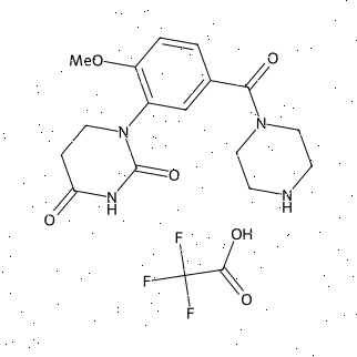 COc1ccc(C(=O)N2CCNCC2)cc1N1CCC(=O)NC1=O.O=C(O)C(F)(F)F